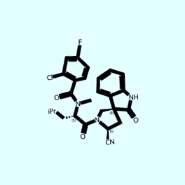 CC(C)C[C@@H](C(=O)N1C[C@]2(C[C@H]1C#N)C(=O)Nc1ccccc12)N(C)C(=O)c1ccc(F)cc1Cl